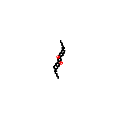 CCCCCC(C)(C)c1ccc2cc3c(cc2c1)oc1cc2c(cc13)oc1cc3cc(C(C)(C)CCCCC)ccc3cc12